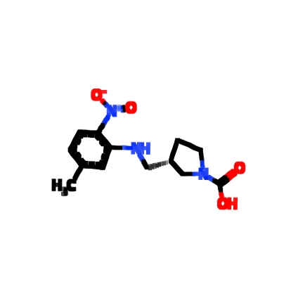 Cc1ccc([N+](=O)[O-])c(NC[C@@H]2CCN(C(=O)O)C2)c1